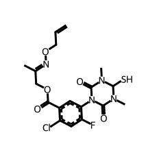 C=CCON=C(C)COC(=O)c1cc(N2C(=O)N(C)C(S)N(C)C2=O)c(F)cc1Cl